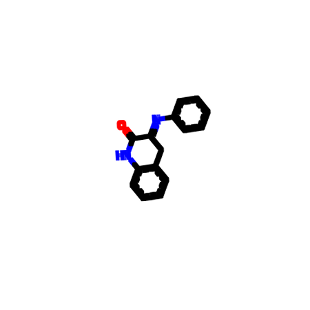 O=C1Nc2ccccc2CC1=Nc1ccccc1